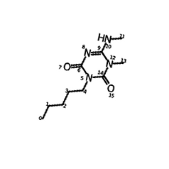 CCCCCn1c(=O)nc(NC)n(C)c1=O